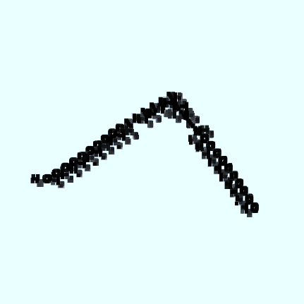 N.N.N.N.N.N.N.N.N.N.O.O.O.O.O.O.O.O.O.O.O.O.O.O.O.O.O.O.O.O